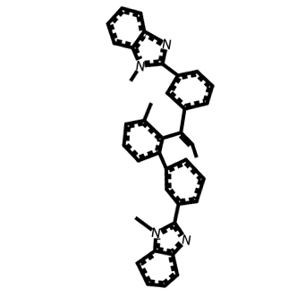 C/C=C(/c1cccc(-c2nc3ccccc3n2C)c1)c1c(C)cccc1-c1cccc(-c2nc3ccccc3n2C)c1